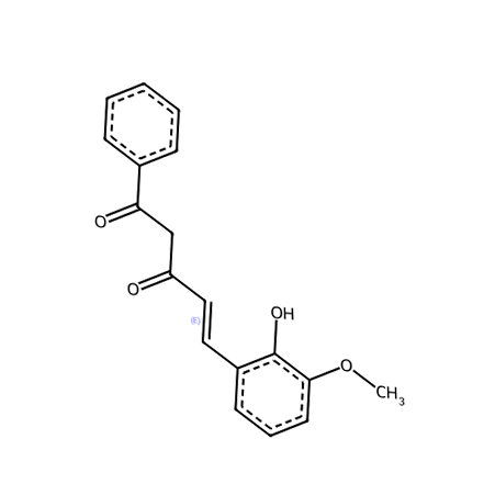 COc1cccc(/C=C/C(=O)CC(=O)c2ccccc2)c1O